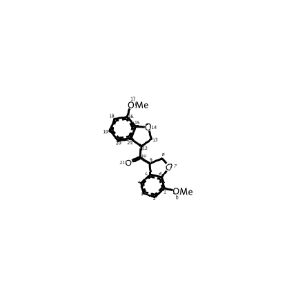 COc1cccc2c1OCC2C(=O)C1COc2c(OC)cccc21